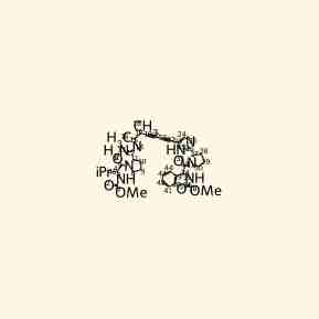 COC(=O)N[C@H](C(=O)N1CCC[C@H]1/C(N)=N/C(C)[C@@H](C)C#CC#Cc1cnc([C@@H]2CCCN2C(=O)[C@H](NC(=O)OC)c2ccccc2)[nH]1)C(C)C